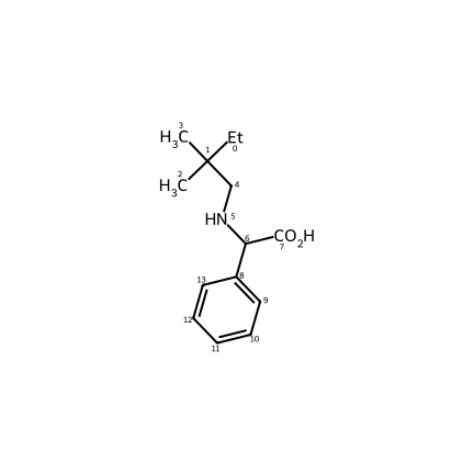 CCC(C)(C)CNC(C(=O)O)c1ccccc1